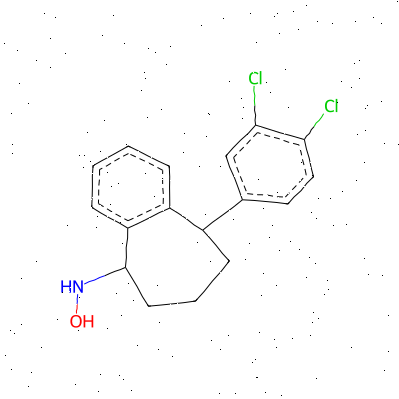 ONC1CCCC(c2ccc(Cl)c(Cl)c2)c2ccccc21